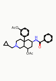 CC(=O)Oc1cccc(C23CCN(CC4CC4)CC2C(OC(C)=O)C[C@H](NC(=O)c2ccccc2)C3)c1